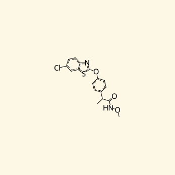 CONC(=O)C(C)c1ccc(Oc2nc3ccc(Cl)cc3s2)cc1